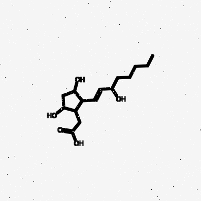 CCCCCC(O)C=CC1C(O)CC(O)C1CC(=O)O